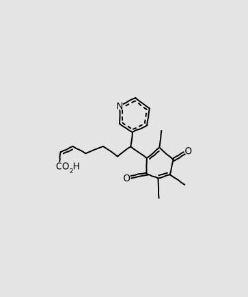 CC1=C(C)C(=O)C(C(CCC/C=C\C(=O)O)c2cccnc2)=C(C)C1=O